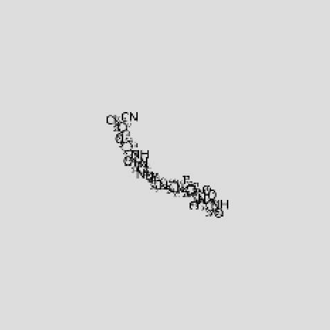 N#Cc1ccc(OC2CCC(NC(=O)c3cnc(N4CC5(CCN(C6CCN(c7cc8c(cc7F)C(=O)N(C7CCC(=O)NC7=O)C8=O)CC6)C5)C4)cn3)CC2)cc1Cl